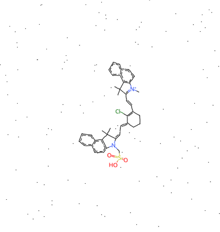 C[N+]1=C(/C=C/C2=C(Cl)C(=C/C=C3/N(CS(=O)(=O)O)c4ccc5ccccc5c4C3(C)C)/CCC2)C(C)(C)c2c1ccc1ccccc21